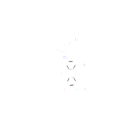 CCOP(=O)(CNc1cc(C)c(Cc2ccc(O)c(C(C)C)c2)c(C)c1)OCC